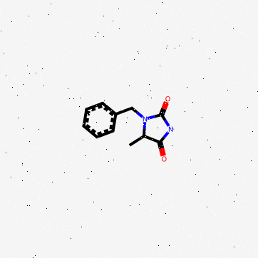 CC1C(=O)[N]C(=O)N1Cc1ccccc1